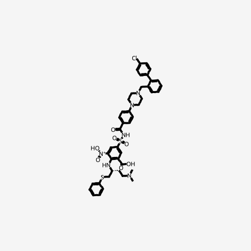 CN(C)CC[C@H](CSc1ccccc1)Nc1c(C(=O)O)cc(S(=O)(=O)NC(=O)c2ccc(N3CCN(Cc4ccccc4-c4ccc(Cl)cc4)CC3)cc2)cc1[N+](=O)O